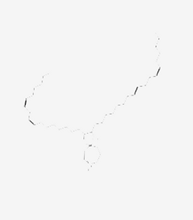 CCCCC/C=C\C/C=C\CCCCCCCC1OC2(CCCN(C)CC2)OC1CCCCCCCC=CCC/C=C\CCCCC